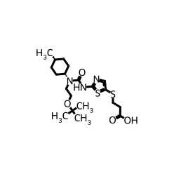 CC(C)(C)OCCN(C(=O)Nc1ncc(SCCC(=O)O)s1)[C@H]1CC[C@H](C)CC1